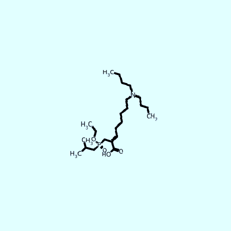 CCCCN(CCCC)CCCCCC=C(CP(=O)(CC(C)C)OCC)C(=O)O